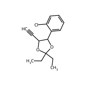 C#CC1OC(CC)(CC)OC1c1ccccc1Cl